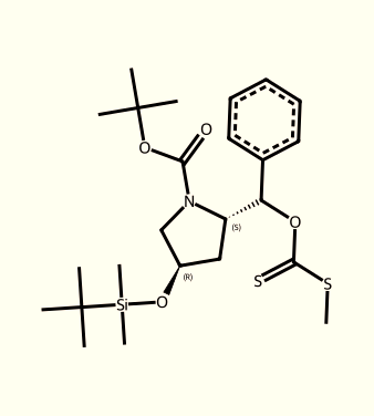 CSC(=S)OC(c1ccccc1)[C@@H]1C[C@@H](O[Si](C)(C)C(C)(C)C)CN1C(=O)OC(C)(C)C